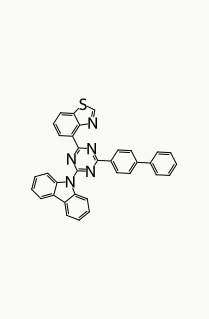 c1ccc(-c2ccc(-c3nc(-c4cccc5scnc45)nc(-n4c5ccccc5c5ccccc54)n3)cc2)cc1